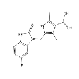 Cc1[nH]c(/C=C2\C(=O)Nc3ccc(F)cc32)c(C)c1C(O)O